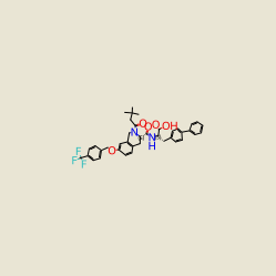 CC(C)(C)CC(=O)N1Cc2cc(OCc3ccc(C(F)(F)F)cc3)ccc2C[C@H]1C(=O)N[C@@H](Cc1ccc(-c2ccccc2)cc1)C(=O)O